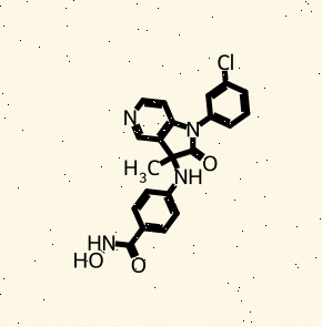 CC1(Nc2ccc(C(=O)NO)cc2)C(=O)N(c2cccc(Cl)c2)c2ccncc21